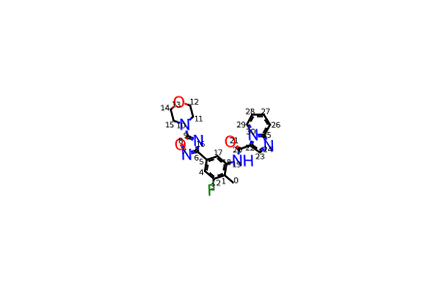 Cc1c(F)cc(-c2noc(N3CCOCC3)n2)cc1NC(=O)c1cnc2ccccn12